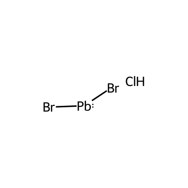 Cl.[Br][Pb][Br]